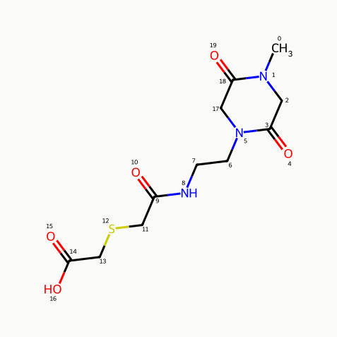 CN1CC(=O)N(CCNC(=O)CSCC(=O)O)CC1=O